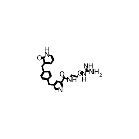 N=C(N)NOCCNC(=O)c1cncc(Cc2ccc(Cc3ccc[nH]c3=O)cc2)c1